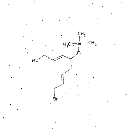 C[Si](C)(C)OC(C=CCO)CC=CCBr